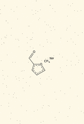 C.O=Cc1ccco1.[Na]